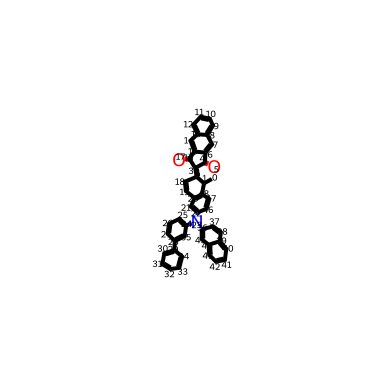 CC1C(=C2C(=O)c3cc4ccccc4cc3C2=O)C=Cc2cc(N(c3cccc(-c4ccccc4)c3)c3ccc4ccccc4c3)ccc21